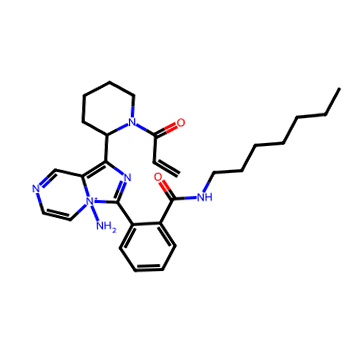 C=CC(=O)N1CCCCC1C1=C2C=NC=C[N+]2(N)C(c2ccccc2C(=O)NCCCCCCC)=N1